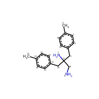 Cc1ccc(CC(N)(CN)Cc2ccc(C)cc2)cc1